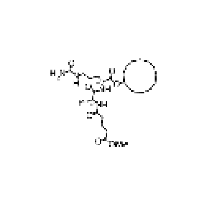 COC(=O)CCCC(=O)N[C@H](C(=O)N[C@@H](CCCNC(N)=O)C(=O)OC1CCCCCCCCCCCC1)C(C)C